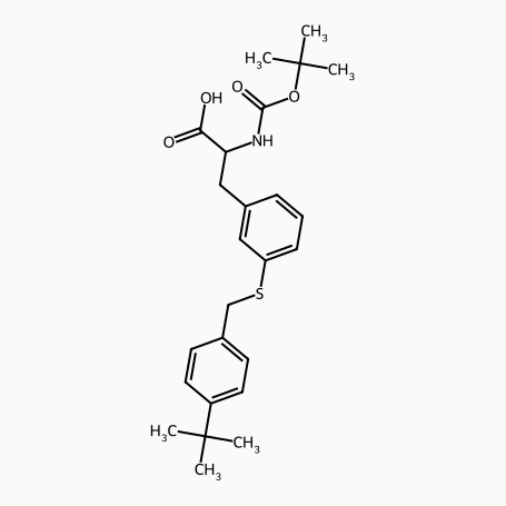 CC(C)(C)OC(=O)NC(Cc1cccc(SCc2ccc(C(C)(C)C)cc2)c1)C(=O)O